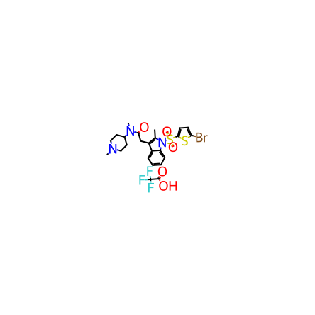 Cc1c(CC(=O)N(C)C2CCN(C)CC2)c2ccccc2n1S(=O)(=O)c1ccc(Br)s1.O=C(O)C(F)(F)F